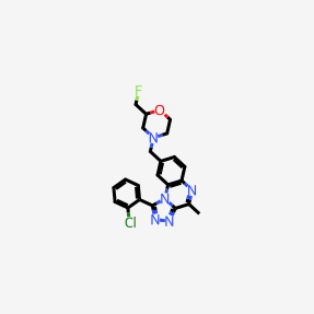 Cc1nc2ccc(CN3CCOC(CF)C3)cc2n2c(-c3ccccc3Cl)nnc12